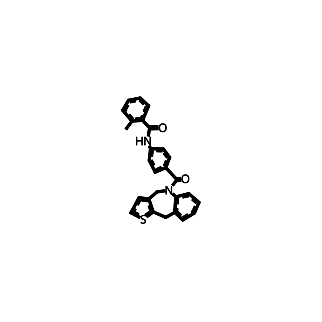 Cc1ccccc1C(=O)Nc1ccc(C(=O)N2Cc3ccsc3Cc3ccccc32)cc1